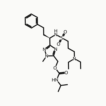 CCN(CC)CCCS(=O)(=O)N[C@H](CCc1ccccc1)c1nc(COC(=O)NC(C)C)n(C)n1